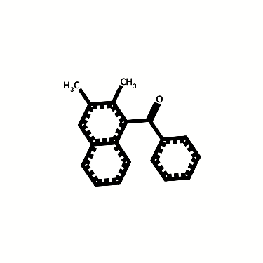 Cc1cc2ccccc2c(C(=O)c2ccccc2)c1C